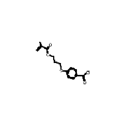 C=C(C)C(=O)OCCCOc1ccc(C(=O)Cl)cc1